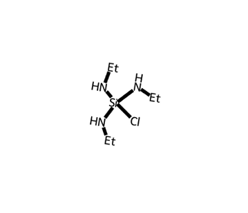 CCN[Si](Cl)(NCC)NCC